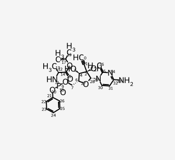 C#C[C@@]1(O)[C@H](O)[C@@H](COP(=O)(N[C@@H](C)C(=O)OC(C)C)Oc2ccccc2)O[C@H]1N1C=CC(N)=NC1=C